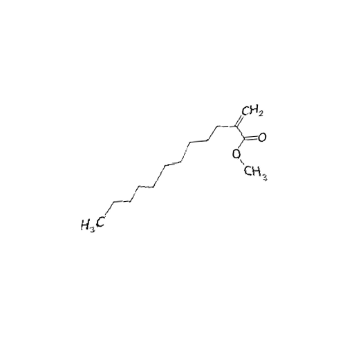 C=C(CCCCCCCCCC)C(=O)OC